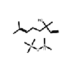 C=CC(C)(O)CCC=C(C)C.C[SiH](C)O[Si](C)(C)C